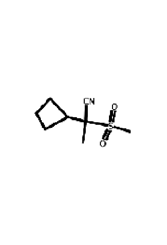 CC(C#N)(C1CCC1)S(C)(=O)=O